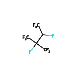 F[C](C(F)(F)F)C(F)(C(F)(F)F)C(F)(F)F